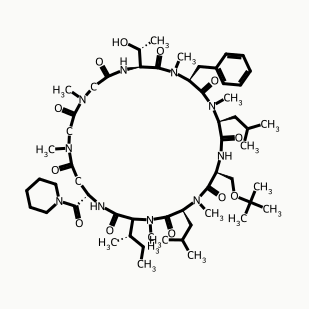 CC[C@H](C)C1C(=O)N[C@H](C(=O)N2CCCCC2)CC(=O)N(C)CC(=O)N(C)CC(=O)N[C@@H]([C@@H](C)O)C(=O)N(C)[C@@H](Cc2ccccc2)C(=O)N(C)[C@@H](CC(C)C)C(=O)N[C@@H](COC(C)(C)C)C(=O)N(C)[C@@H](CC(C)C)C(=O)N1C